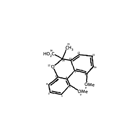 COc1cccc2c1-c1c(OC)cccc1C(C)(C(=O)O)O2